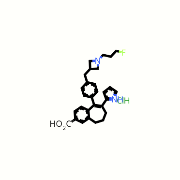 Cl.O=C(O)c1ccc2c(c1)CCCC(c1ccc[nH]1)=C2c1ccc(CC2CN(CCCF)C2)cc1